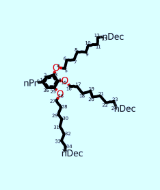 [CH2]CCc1cc(OCCCCCCCCCCCCCCCCCC)c(OCCCCCCCCCCCCCCCCCC)c(OCCCCCCCCCCCCCCCCCC)c1